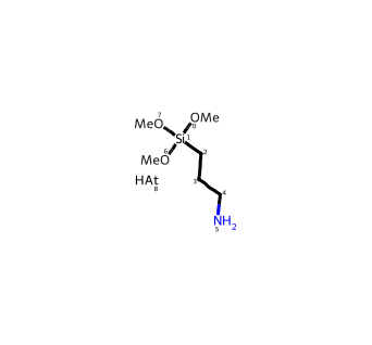 CO[Si](CCCN)(OC)OC.[AtH]